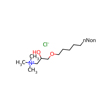 CCCCCCCCCCCCCCOCC(O)C[N+](C)(C)C.[Cl-]